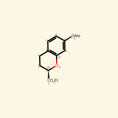 CCOC(=O)[C@H]1CCc2ccc(OC)cc2O1